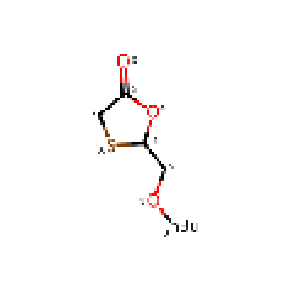 CCCCOCC1OC(=O)CS1